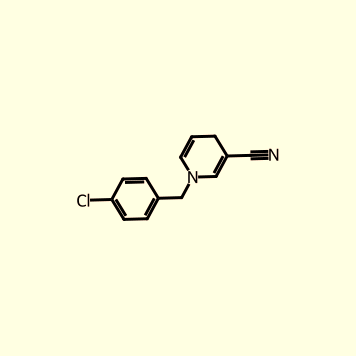 N#CC1=CN(Cc2ccc(Cl)cc2)C=CC1